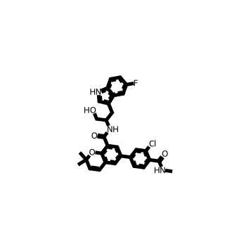 CNC(=O)c1ccc(-c2cc3c(c(C(=O)NC(CO)Cc4c[nH]c5ccc(F)cc45)c2)OC(C)(C)C=C3)cc1Cl